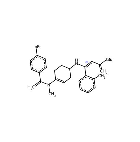 C=C(c1ccc(CCC)cc1)N(C)C1=CCC(N/C(=C/C(=C)C(C)(C)C)c2ccccc2C)CC1